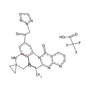 O=C(Cn1nccn1)c1ccc(OCC(F)(F)F)c(-n2c(CN3CCNC4(CC4)C3)nc3ncccc3c2=O)c1.O=C(O)C(F)(F)F